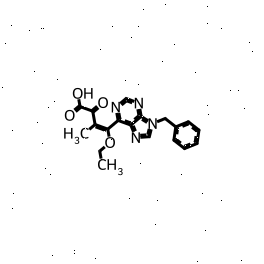 CCOC(=C(C)C(=O)C(=O)O)c1ncnc2c1ncn2Cc1ccccc1